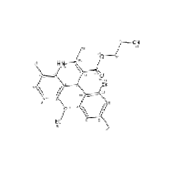 CCOc1ncc(C)c2c1C(c1ccc(C)cc1CC)C(C(=O)OCCC#N)=C(C)N2